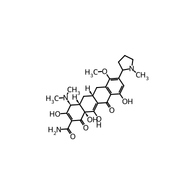 COc1c(C2CCCN2C)cc(O)c2c1C[C@H]1C[C@H]3[C@H](N(C)C)C(O)=C(C(N)=O)C(=O)[C@@]3(O)C(O)=C1C2=O